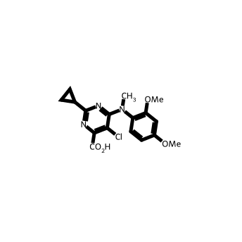 COc1ccc(N(C)c2nc(C3CC3)nc(C(=O)O)c2Cl)c(OC)c1